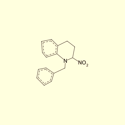 O=[N+]([O-])C1CCc2ccccc2N1Cc1ccccc1